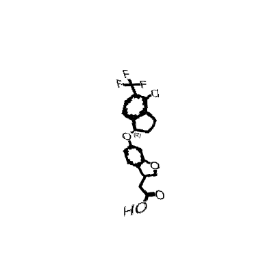 O=C(O)CC1COc2cc(O[C@@H]3CCc4c3ccc(C(F)(F)F)c4Cl)ccc21